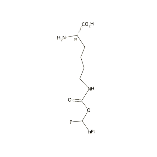 CCCC(F)OC(=O)NCCCC[C@H](N)C(=O)O